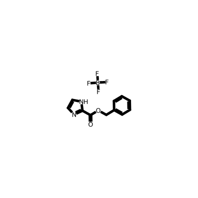 F[B-](F)(F)F.O=C(OCc1ccccc1)c1ncc[nH]1